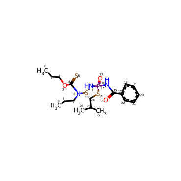 CCCOC(=S)N(CCC)SNP(=O)(NC(=O)c1ccccc1)SCC(C)C